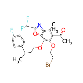 CC(=O)c1c(OCCBr)c(OCCC(C)c2ccc(F)cc2)c2oc(C(F)F)nc2c1C